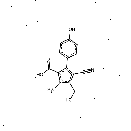 CCc1c(C#N)c(-c2ccc(O)cc2)c(C(=O)O)n1C